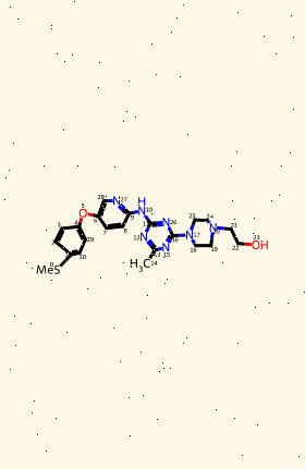 CSc1ccc(Oc2ccc(Nc3nc(C)nc(N4CCN(CCO)CC4)n3)nc2)cc1